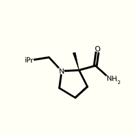 CC(C)CN1CCC[C@@]1(C)C(N)=O